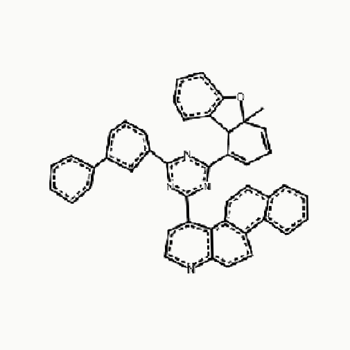 CC12C=CC=C(c3nc(-c4cccc(-c5ccccc5)c4)nc(-c4ccnc5ccc6c7ccccc7ccc6c45)n3)C1c1ccccc1O2